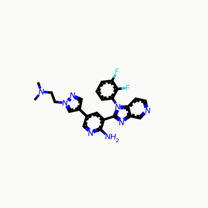 CN(C)CCn1cc(-c2cnc(N)c(-c3nc4cnccc4n3-c3cccc(F)c3F)c2)cn1